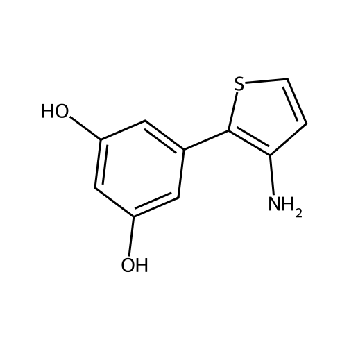 Nc1ccsc1-c1cc(O)cc(O)c1